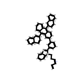 C=C/C=C\CCn1c(-c2cccc(-c3ccc4c(-c5ccc6ccccc6c5)c5ccccc5c(-c5ccc6ccccc6c5)c4c3)c2)nc2ccccc21